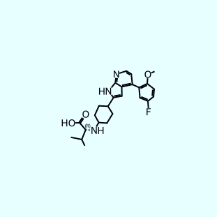 COc1ccc(F)cc1-c1ccnc2[nH]c(C3CCC(N[C@@H](C(=O)O)C(C)C)CC3)cc12